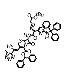 Cn1nnnc1C(S)=CC1=C(C(=O)OC(c2ccccc2)c2ccccc2)N2C(=O)C(NC(=O)C(=NOCC(=O)OC(C)(C)C)c3csc(NC(c4ccccc4)(c4ccccc4)c4ccccc4)n3)C2SC1